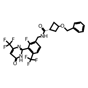 O=c1cc(C(F)(F)F)nc(-c2c(C(F)(F)F)ccc(CNC(=O)[C@H]3C[C@H](OCc4ccccc4)C3)c2F)[nH]1